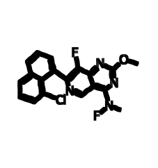 COc1nc(N(C)F)c2cnc(-c3cccc4cccc(Cl)c34)c(F)c2n1